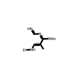 CCN/C=C(C)/C(=N\C=N)NC